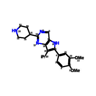 COc1ccc(-c2[nH]c3cnc(C4CCNCC4)nc3c2C(C)C)cc1OC